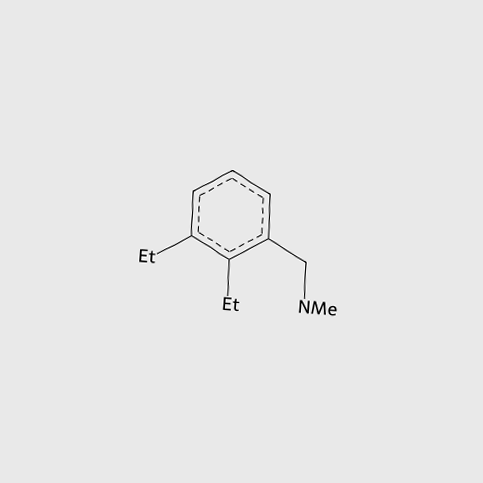 CCc1cccc(CNC)c1CC